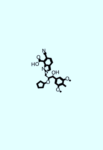 COc1cc([C@@H](O)[C@H](Cn2cc3ccc(C#N)c(C(=O)O)c3n2)OC2CCCC2)cc(OC)c1C